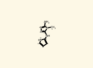 Cn1c(N)nnc1Nc1ccc[nH]1